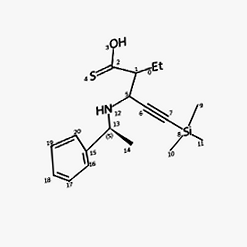 CCC(C(O)=S)C(C#C[Si](C)(C)C)N[C@@H](C)c1ccccc1